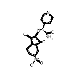 NC(=O)N(/N=c1/c(=O)c2ccc([N+](=O)[O-])cc2c1=O)c1ccncc1